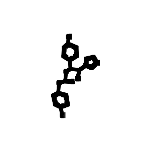 S=C(Oc1ccc(Cl)cc1)OC(c1ccc(Cl)cc1)C(Cl)n1ccnc1